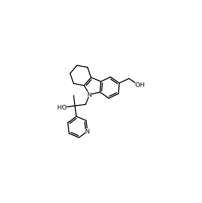 CC(O)(Cn1c2c(c3cc(CO)ccc31)CCCC2)c1cccnc1